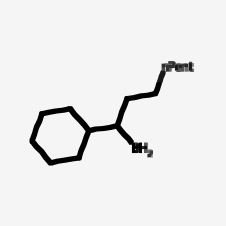 BC(CCCCCCC)C1CCCCC1